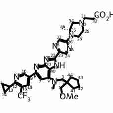 COCC1(CN(C)c2cc(-c3cnc(C4CC4)c(C(F)(F)F)c3)nc3nc(-c4cnc(N5CCN(CCC(=O)O)C[C@H]5C)cn4)[nH]c23)CCCC1